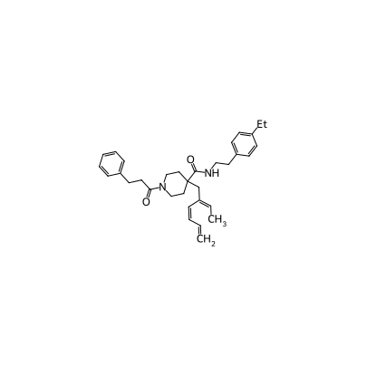 C=C/C=C\C(=C/C)CC1(C(=O)NCCc2ccc(CC)cc2)CCN(C(=O)CCc2ccccc2)CC1